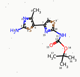 Cc1nc(N)sc1-c1csc(NC(=O)OC(C)(C)C)n1